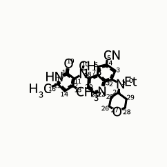 CCN(c1cc(C#N)cc2c(N(C)c3c(C)cc(C)[nH]c3=O)ccnc12)C1CCOCC1